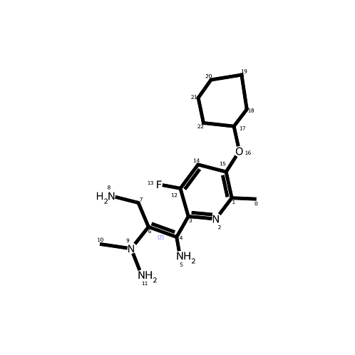 Cc1nc(/C(N)=C(\CN)N(C)N)c(F)cc1OC1CCCCC1